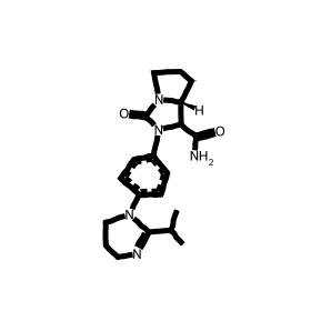 CC(C)C1=NCCCN1c1ccc(N2C(=O)N3CC[CH][C@@H]3C2C(N)=O)cc1